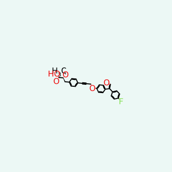 CO[C@@H](Cc1ccc(C#CCOc2ccc3c(-c4ccc(F)cc4)coc3c2)cc1)C(=O)O